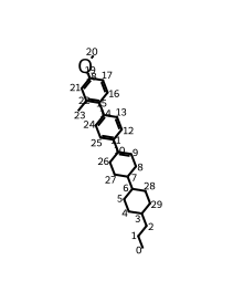 CCCC1CCC(C2CC=C(c3ccc(-c4ccc(OC)cc4C)cc3)CC2)CC1